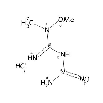 CON(C)C(=N)NC(=N)N.Cl